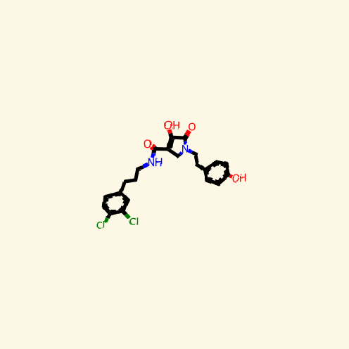 O=C(NCCCc1ccc(Cl)c(Cl)c1)C1=C(O)C(=O)N(CCc2ccc(O)cc2)C1